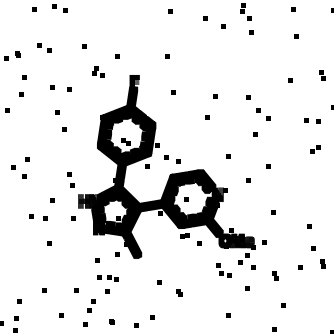 COc1cc(-c2c(C)n[nH]c2-c2ccc(F)cc2)ccn1